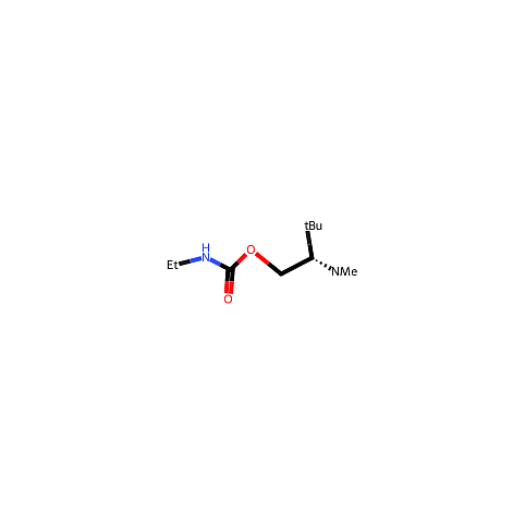 CCNC(=O)OC[C@@H](NC)C(C)(C)C